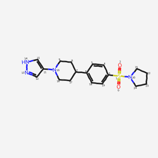 O=S(=O)(c1ccc(C2CCN(c3cn[nH]c3)CC2)cc1)N1CCCC1